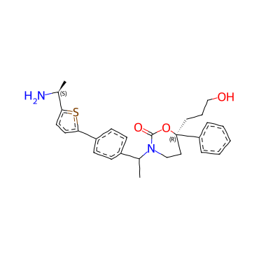 CC(c1ccc(-c2ccc([C@H](C)N)s2)cc1)N1CC[C@](CCCO)(c2ccccc2)OC1=O